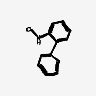 ClNc1ccccc1-c1ccccc1